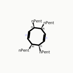 CCCCC[C@H]1/C=C\[C@@H](CCCCC)[C@@H](CCCCC)/C=C\[C@H]1CCCCC